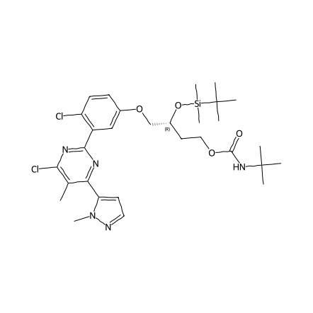 Cc1c(Cl)nc(-c2cc(OC[C@@H](CCOC(=O)NC(C)(C)C)O[Si](C)(C)C(C)(C)C)ccc2Cl)nc1-c1ccnn1C